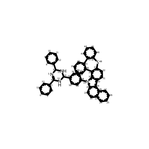 c1ccc(C2=NC(c3ccccc3)NC(c3ccc(-n4c5ccc6ccccc6c5c5ccc6c(c54)-c4ccccc4-c4ccccc4S6)cc3)N2)cc1